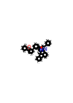 CC1(c2ccccc2)c2ccccc2-c2cccc(-c3nc(-c4ccccc4)cc(-c4cccc(-c5cccc6c5oc5ccccc56)c4)n3)c21